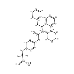 CC(C)(Sc1ccc(CC(=O)NC(Cc2ccccc2)c2ccccc2N2CCCCC2)cc1)C(=O)O